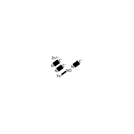 O=[N][Fe+].[C-]#N.[C-]#N.[C-]#N.[Zn+2]